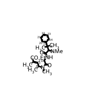 CCOC(=O)/C(C)=C/[C@H](C)N(C)C(=O)CNC(=O)C(NC)C(C)(C)c1ccccc1